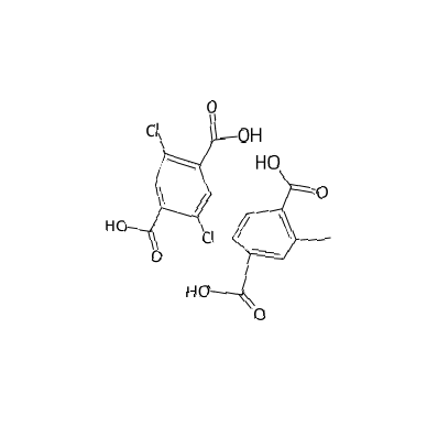 Cc1cc(C(=O)O)ccc1C(=O)O.O=C(O)c1cc(Cl)c(C(=O)O)cc1Cl